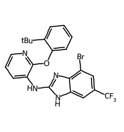 CC(C)(C)c1ccccc1Oc1ncccc1Nc1nc2c(Br)cc(C(F)(F)F)cc2[nH]1